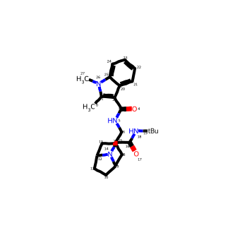 Cc1c(C(=O)NCC2CC3CCC(C2)N3CC(=O)NC(C)(C)C)c2ccccc2n1C